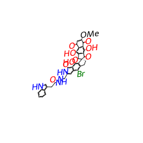 COC1=CC(=O)c2c(O)c3c(c(O)c2C1=O)C(=O)[C@]1(CCc2c1c(O)c1c(=O)[nH]c(/C=N/NC(=O)Cc4c[nH]c5ccccc45)cc1c2Br)C3=O